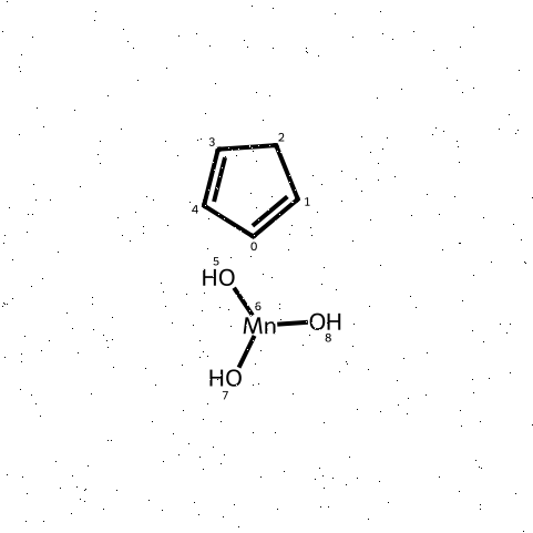 C1=CCC=C1.[OH][Mn]([OH])[OH]